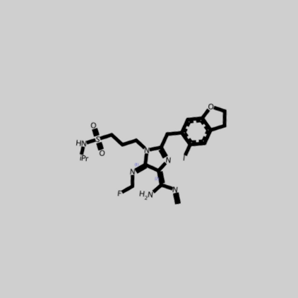 C=N/C(N)=C1\N=C(Cc2cc3c(cc2I)CCO3)N(CCCS(=O)(=O)NC(C)C)\C1=N\CF